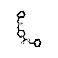 O=C(OCc1ccccc1)N1CCC(CNCc2ccccc2)CC1